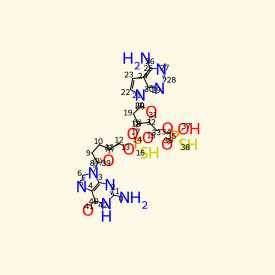 Nc1nc2c(ncn2[C@H]2CC[C@@H](COP(=O)(S)O[C@H]3C[C@H](n4ccc5c(N)ncnc54)OC3COP(=O)(O)S)O2)c(=O)[nH]1